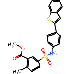 COC(=O)c1cc(S(=O)(=O)Nc2ccc(-c3cc4ccccc4s3)cc2)ccc1C